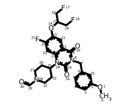 COc1[c]ccc(Cn2c(=O)c3cc(OC(CF)CF)c(F)cc3n(C3CCN(C=O)CC3)c2=O)c1